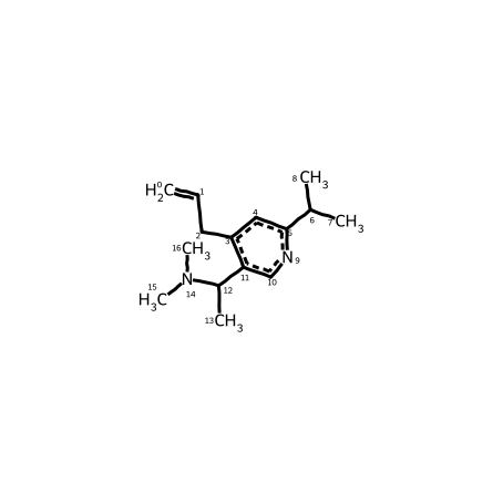 C=CCc1cc(C(C)C)ncc1C(C)N(C)C